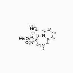 COC(=O)C1([N+](=O)[O-])CN(C)CC2CCCCN2C1.Cl.Cl